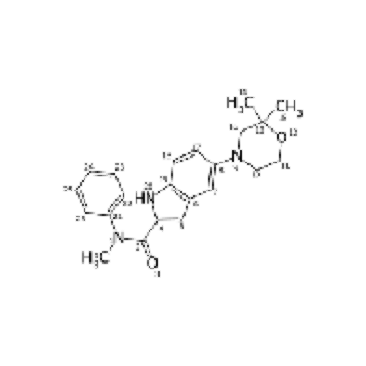 CN(C(=O)c1cc2cc(N3CCOC(C)(C)C3)ccc2[nH]1)c1ccccc1